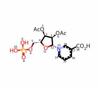 CC(=O)O[C@@H]1[C@H](OC(C)=O)[C@@H](COP(=O)(O)O)O[C@H]1[n+]1cccc(C(=O)O)c1